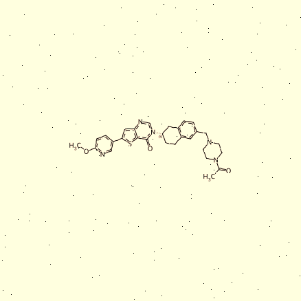 COc1ccc(-c2cc3ncn([C@H]4CCc5cc(CN6CCN(C(C)=O)CC6)ccc5C4)c(=O)c3s2)cn1